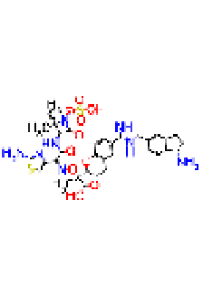 CC(O/N=C(\C(=O)N[C@@H]1C(=O)N(OS(=O)(=O)O)C1(C)C)c1csc(N)n1)(C(=O)O)[C@H]1CCc2cc(C(=N)NCc3ccc4c(c3)CC[C@@H]4N)ccc2O1